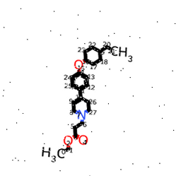 CCOC(=O)CCN1CC=C(c2ccc(OC3CCC(CC)CC3)cc2)CC1